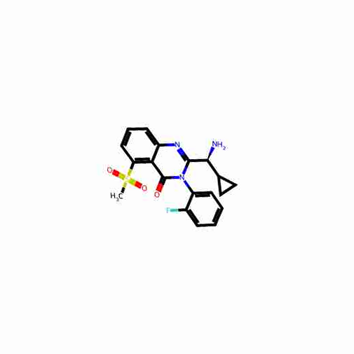 CS(=O)(=O)c1cccc2nc([C@@H](N)C3CC3)n(-c3ccccc3F)c(=O)c12